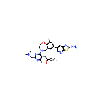 COC(=O)Cc1c(C)nc(CN(C)C)nc1N1CCOc2c(C)cc(-c3cnc4sc(N)nc4c3)cc2C1